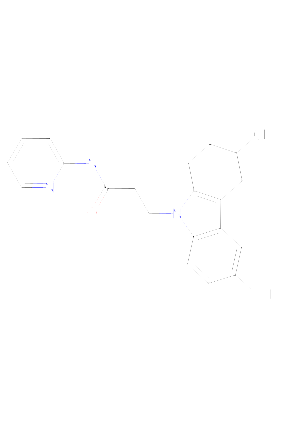 Cc1ccc2c(c1)c1c(n2CCC(=O)Nc2ccccn2)CCC(C)C1